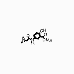 COC(=O)c1cc(NC(=O)CN(C)C)ccc1O